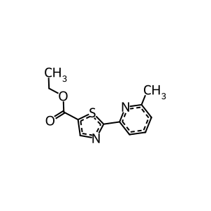 CCOC(=O)c1cnc(-c2cccc(C)n2)s1